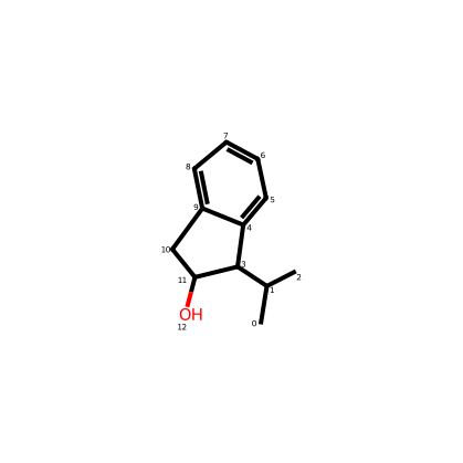 CC(C)C1c2ccccc2CC1O